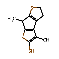 Cc1c(S)sc2c1C1=C(SCC1)C2C